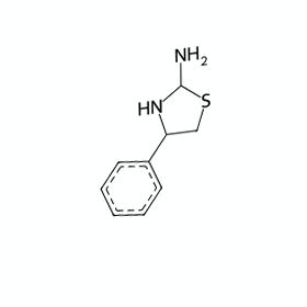 NC1NC(c2ccccc2)CS1